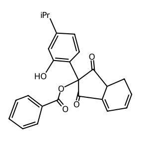 CC(C)c1ccc(C2(OC(=O)c3ccccc3)C(=O)C3=CC=CCC3C2=O)c(O)c1